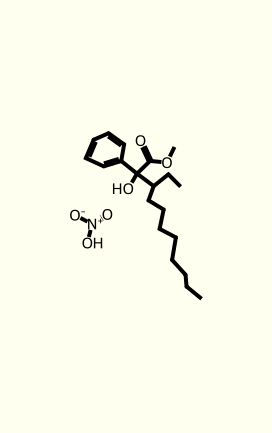 CCCCCCCCC(CC)C(O)(C(=O)OC)c1ccccc1.O=[N+]([O-])O